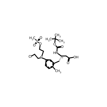 Cc1ccc(N(CCCl)CCOS(C)(=O)=O)cc1C[C@@H](CC(=O)O)NC(=O)OC(C)(C)C